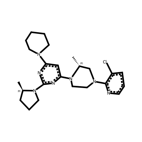 C[C@@H]1CN(c2ncccc2Cl)CCN1c1cc(N2CCCCC2)nc(N2CCC[C@H]2C)n1